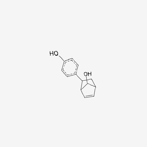 Oc1ccc(C2CC3C=CC2C3O)cc1